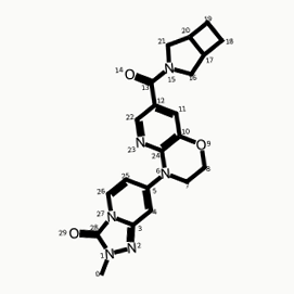 Cn1nc2cc(N3CCOc4cc(C(=O)N5CC6CCC6C5)cnc43)ccn2c1=O